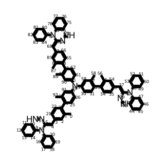 Cc1cc(C=C(N=N)N(c2ccccc2)c2ccccc2)ccc1-c1ccc(N(c2ccc(-c3ccc(C=C(N=N)N(c4ccccc4)c4ccccc4)cc3C)c(C)c2)c2ccc(-c3ccc(C=C(N=N)N(c4ccccc4)c4ccccc4)cc3C)c(C)c2)cc1C